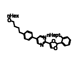 CCCCCCCc1ccccc1C1OC=C(c2ncc(-c3ccc(CCCCOCCCCCC)cc3)cn2)O1